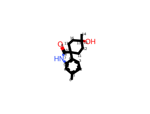 Cc1ccc2c(c1)NC(=O)C21CCC(C)(O)CC1